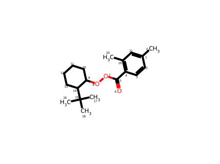 Cc1ccc(C(=O)OO[C]2CCCCC2C(C)(C)C)c(C)c1